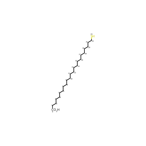 O=C(O)CCCCCCCCCCCCCCCCCCCCCCS